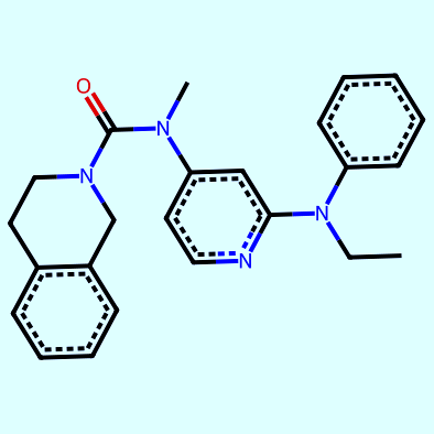 CCN(c1ccccc1)c1cc(N(C)C(=O)N2CCc3ccccc3C2)ccn1